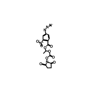 CC(OC(=O)ON1C(=O)CCC1=O)OC(=O)c1ccc(N=[N+]=[N-])cc1[N+](=O)[O-]